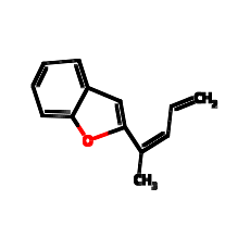 C=C/C=C(/C)c1cc2ccccc2o1